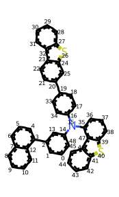 c1cc(-c2cccc3ccccc23)cc(N(c2ccc(-c3ccc4c(c3)sc3ccccc34)cc2)c2cccc3sc4ccccc4c23)c1